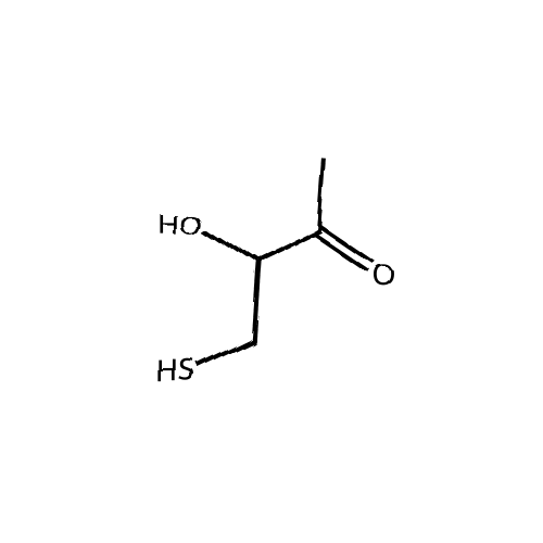 CC(=O)C(O)CS